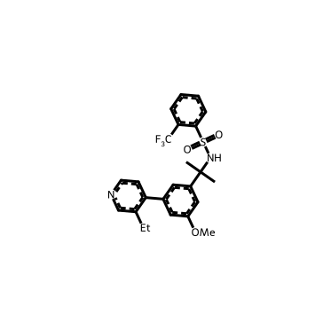 CCc1cnccc1-c1cc(OC)cc(C(C)(C)NS(=O)(=O)c2ccccc2C(F)(F)F)c1